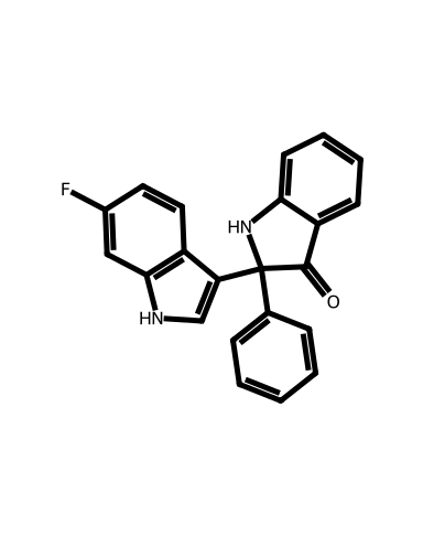 O=C1c2ccccc2NC1(c1ccccc1)c1c[nH]c2cc(F)ccc12